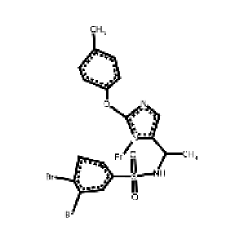 CCn1c(C(C)NS(=O)(=O)c2ccc(Br)c(Br)c2)cnc1Oc1ccc(C)cc1